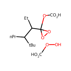 CCCC(C(CC)C1(OC(=O)O)OO1)C(C)(C)C.O=C(O)OO